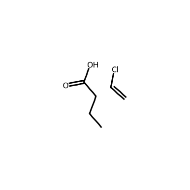 C=CCl.CCCC(=O)O